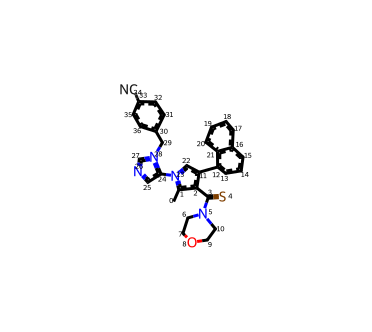 Cc1c(C(=S)N2CCOCC2)c(-c2cccc3ccccc23)cn1-c1cncn1Cc1ccc(C#N)cc1